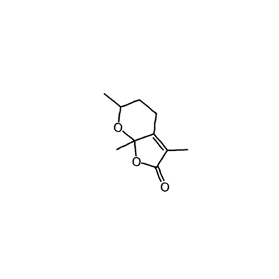 CC1=C2CCC(C)OC2(C)OC1=O